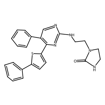 O=C1NCCN1CCNc1ncc(-c2ccccc2)c(-c2ccc(-c3ccccc3)s2)n1